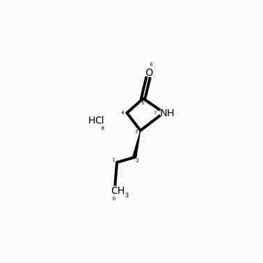 CCC[C@H]1CC(=O)N1.Cl